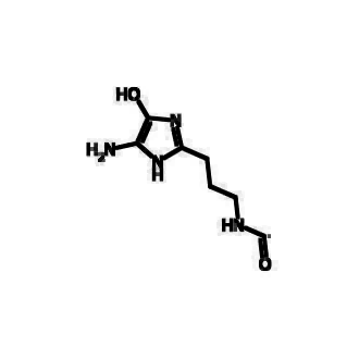 Nc1[nH]c(CCCN[C]=O)nc1O